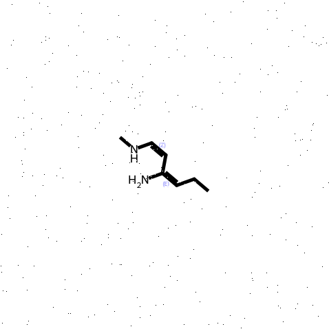 CC/C=C(N)\C=C/NC